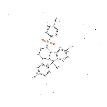 Cc1ccc(S(=O)(=O)N2CCCC(C(C#N)(c3ccc(F)cc3)c3ccc(F)cc3)C2)cc1